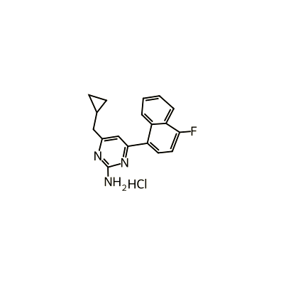 Cl.Nc1nc(CC2CC2)cc(-c2ccc(F)c3ccccc23)n1